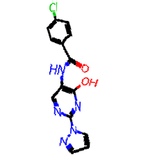 O=C(Nc1cnc(-n2cccn2)nc1O)c1ccc(Cl)cc1